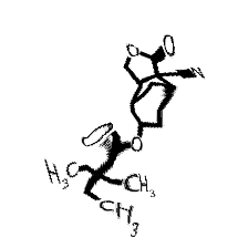 CCC(C)(C)C(=O)OC1CC2CC1C1COC(=O)C21C#N